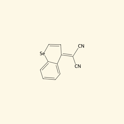 N#CC(C#N)=C1C=C[Se]c2ccccc21